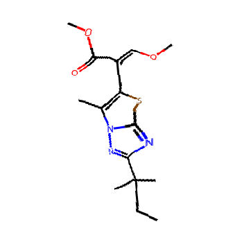 CCC(C)(C)c1nc2sc(/C(=C\OC)C(=O)OC)c(C)n2n1